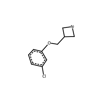 Clc1cccc(OCC2C[N]C2)c1